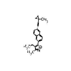 CCc1c(C)noc1-c1ccc2cc(C#CC3(C)CC3)ccc2c1